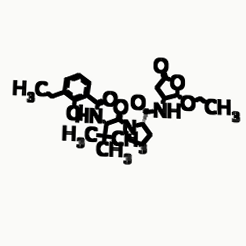 CCO[C@@H]1OC(=O)C[C@@H]1NC(=O)[C@@H]1CCCN1C(=O)[C@@H](NC(=O)c1cccc(CC)c1Cl)C(C)(C)C